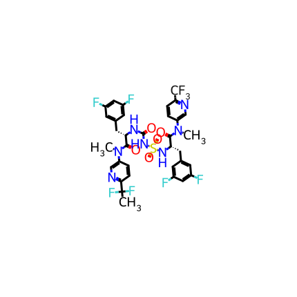 CN(C(=O)[C@H](Cc1cc(F)cc(F)c1)NC(=O)NS(=O)(=O)N[C@@H](Cc1cc(F)cc(F)c1)C(=O)N(C)c1ccc(C(F)(F)F)nc1)c1ccc(C(C)(F)F)nc1